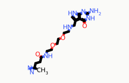 CC1(CCC(=O)NCCOCCOCCNCc2c[nH]c3nc(N)[nH]c(=O)c23)N=N1